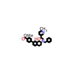 COC(=O)c1ccc(-c2ccc3c(c2)C[C@@H](N(Cc2ccccc2)C[C@H](O)c2ccc(C)nc2)CC3)cc1